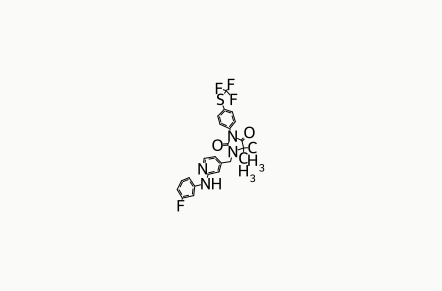 CC1(C)C(=O)N(c2ccc(SC(F)(F)F)cc2)C(=O)N1Cc1ccnc(Nc2cccc(F)c2)c1